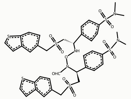 CN(C)S(=O)(=O)c1ccc([C@@H](CS(=O)(=O)Cc2ccc3sccc3c2)N(C=O)ON[C@H](CS(=O)(=O)Cc2ccc3sccc3c2)c2ccc(S(=O)(=O)N(C)C)cc2)cc1